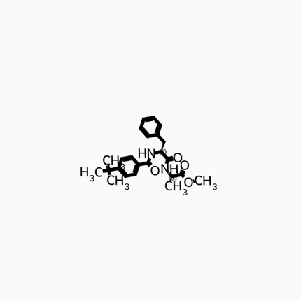 COC(=O)[C@H](C)NC(=O)[C@H](Cc1ccccc1)NC(=O)c1ccc(C(C)(C)C)cc1